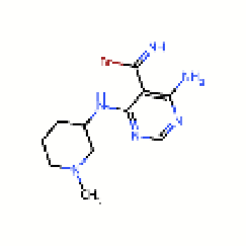 CN1CCCC(Nc2ncnc(N)c2C(=N)Br)C1